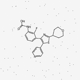 O=C(O)Nc1cccc(-c2nc(C3CCOCC3)sc2-c2ccncc2)c1F